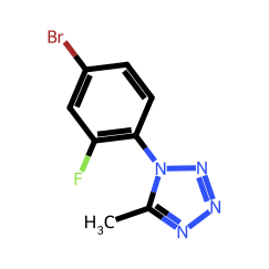 Cc1nnnn1-c1ccc(Br)cc1F